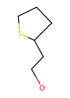 [O]CCC1CCCS1